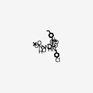 CCc1ccc(N(C=O)OCC2(C(=O)NCc3ccc(Cl)cc3)CCN(C(=O)CNC(=O)OC(C)(C)C)CC2)cc1